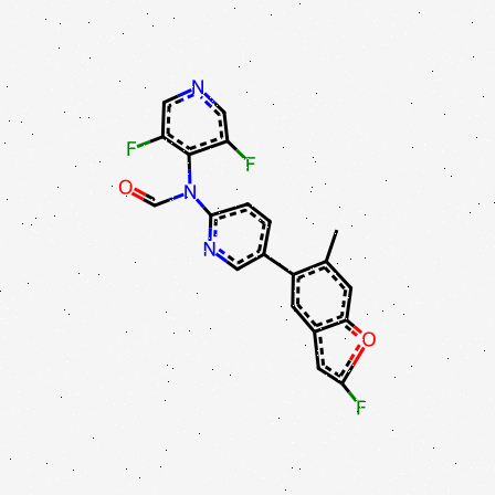 Cc1cc2oc(F)cc2cc1-c1ccc(N(C=O)c2c(F)cncc2F)nc1